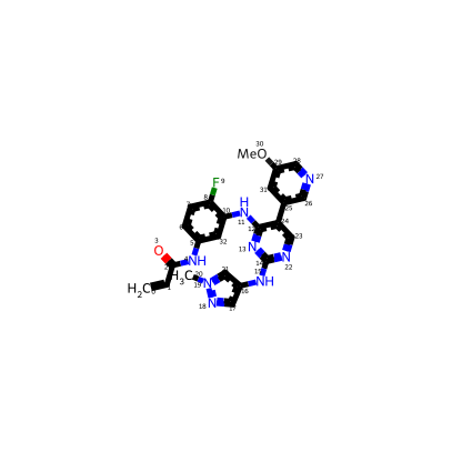 C=CC(=O)Nc1ccc(F)c(Nc2nc(Nc3cnn(C)c3)ncc2-c2cncc(OC)c2)c1